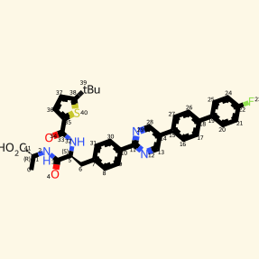 C[C@@H](NC(=O)[C@H](Cc1ccc(-c2ncc(-c3ccc(-c4ccc(F)cc4)cc3)cn2)cc1)NC(=O)c1ccc(C(C)(C)C)s1)C(=O)O